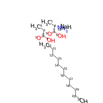 CCC(=O)O.CCC(=O)O.CCCCCCCCCCCC.N.[NaH]